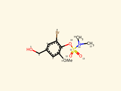 COc1cc(CO)cc(Br)c1OS(=O)(=O)N(C)C